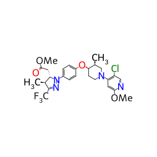 COC(=O)C[C@H]1[C@H](C)C(C(F)(F)F)=NN1c1ccc(O[C@@H]2CCN(c3cc(OC)ncc3Cl)C[C@@H]2C)cc1